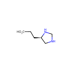 O=C(O)CC[C@@H]1CNCN1